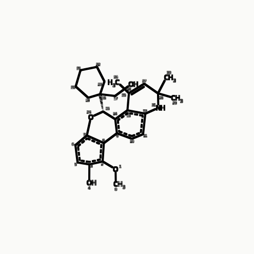 COc1c(O)ccc2c1-c1ccc3c(c1[C@@H](C1(CO)CCCCC1)O2)C(C)=CC(C)(C)N3